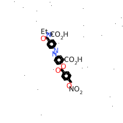 CCN(C(=O)O)C(=O)c1ccc(N=Nc2ccc(OC(=O)c3ccc(CO[N+](=O)[O-])cc3)c(C(=O)O)c2)cc1